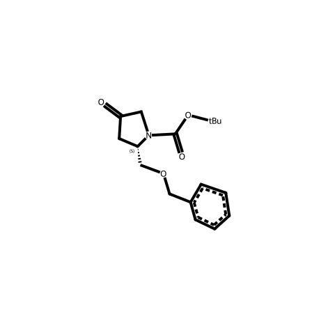 CC(C)(C)OC(=O)N1CC(=O)C[C@H]1COCc1ccccc1